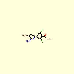 COC(=O)c1c(F)cc(-c2ccc([N+](=O)[O-])c(N)n2)cc1F